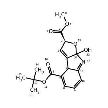 COC(=O)[C@@H]1C=C2C3C(C(=O)OC(C)(C)C)=CC=CC3=NC2(O)O1